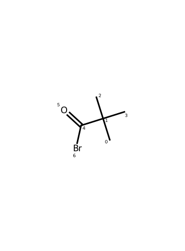 CC(C)(C)C(=O)Br